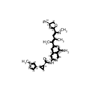 C=N/C(=C\C(C)=C(/C)c1cc2cc(NC(=O)[C@H]3C[C@@H]3c3cnn(C)c3)ncc2c(N)n1)C1=N[C@@H](C(C)C)CO1